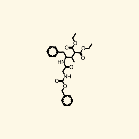 CCOC(=O)C(C(=O)OCC)C(C)C(Cc1ccccc1)NC(=O)CNC(=O)OCc1ccccc1